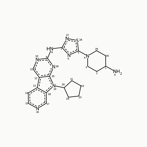 NC1CCN(c2nc(Nc3ncc4c5ccncc5n(C5CCCC5)c4n3)ns2)CC1